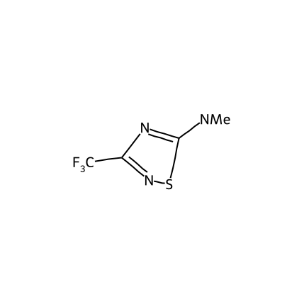 CNc1nc(C(F)(F)F)ns1